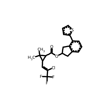 CC1(C)C(C=C(Cl)C(F)(F)F)C1C(=O)OC1Cc2cccc(-c3cccs3)c2C1